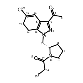 CC(=O)c1nn(C[C@@H]2CCCN2C(=O)CI)c2c1C=C(Cl)CC2